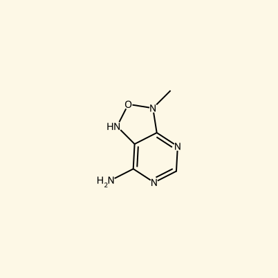 CN1ONc2c(N)ncnc21